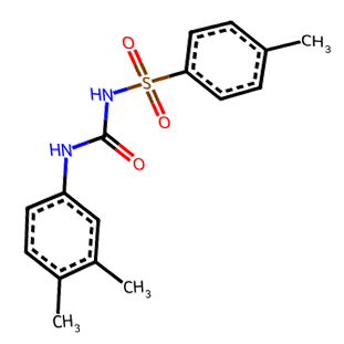 Cc1ccc(S(=O)(=O)NC(=O)Nc2ccc(C)c(C)c2)cc1